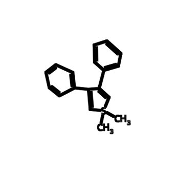 CS1(C)C=C(c2ccccc2)C(c2ccccc2)=C1